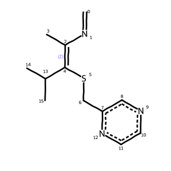 C=N/C(C)=C(\SCc1cnccn1)C(C)C